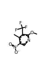 COc1ncc([N+](=O)[O-])c(C)c1C(F)(F)F